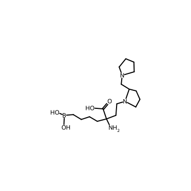 NC(CCCCB(O)O)(CCN1CCCC1CN1CCCC1)C(=O)O